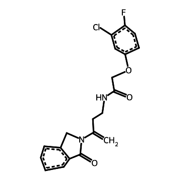 C=C(CCNC(=O)COc1ccc(F)c(Cl)c1)N1Cc2ccccc2C1=O